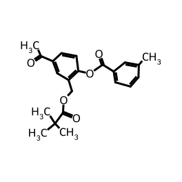 CC(=O)c1ccc(OC(=O)c2cccc(C)c2)c(COC(=O)C(C)(C)C)c1